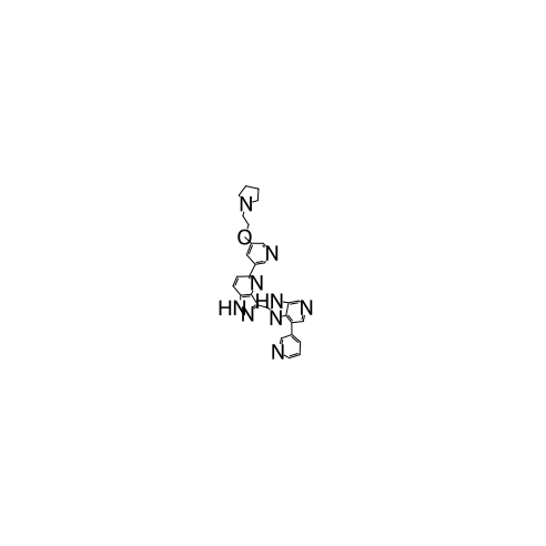 c1cncc(-c2cncc3[nH]c(-c4n[nH]c5ccc(-c6cncc(OCCN7CCCC7)c6)nc45)nc23)c1